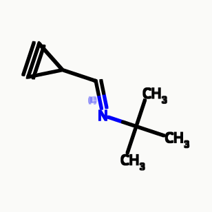 CC(C)(C)/N=C/C1C#C1